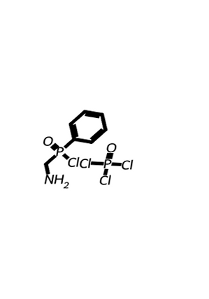 NCP(=O)(Cl)c1ccccc1.O=P(Cl)(Cl)Cl